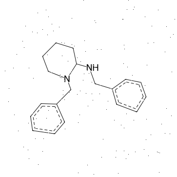 c1ccc(CNC2CCCCN2Cc2ccccc2)cc1